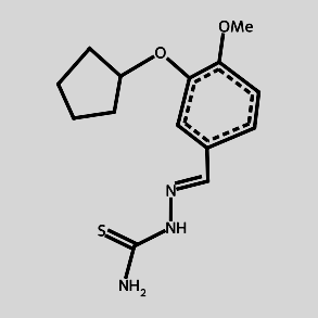 COc1ccc(C=NNC(N)=S)cc1OC1CCCC1